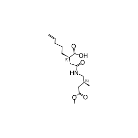 C=CCCC[C@H](CC(=O)NC[C@@H](C)CC(=O)OC)C(=O)O